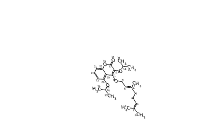 CC(C)=CCC/C(C)=C/COc1c(OC(C)C)c(=O)oc2cccc(OC(C)C)c12